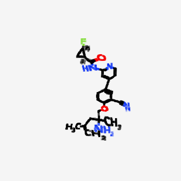 C=C(C)CC(C)(N)COc1ccc(-c2ccnc(NC(=O)[C@H]3C[C@H]3F)c2)cc1C#N